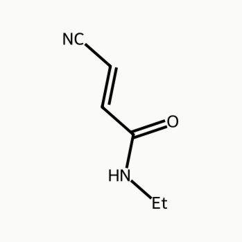 CCNC(=O)/C=C/C#N